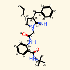 CCC[C@H]1CN(CC(=O)Nc2ccccc2C(=O)NC(C)(C)C)C(=N)[C@@H]1Cc1ccccc1